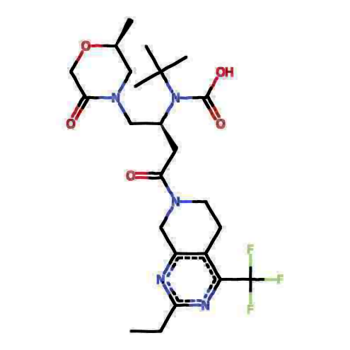 CCc1nc2c(c(C(F)(F)F)n1)CCN(C(=O)C[C@@H](CN1C[C@H](C)OCC1=O)N(C(=O)O)C(C)(C)C)C2